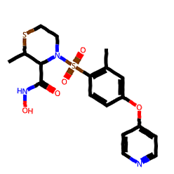 Cc1cc(Oc2ccncc2)ccc1S(=O)(=O)N1CCSC(C)C1C(=O)NO